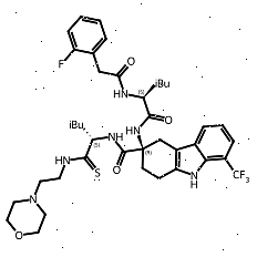 CCC(C)[C@H](NC(=O)Cc1ccccc1F)C(=O)N[C@]1(C(=O)N[C@H](C(=S)NCCN2CCOCC2)C(C)CC)CCc2[nH]c3c(C(F)(F)F)cccc3c2C1